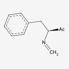 C=N[C@@H](Cc1ccccc1)C(C)=O